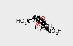 CC(C)(CCCC(=O)O)c1ccc2c(c1)C(=O)c1cc(C(C)(C)CCCC(=O)O)ccc1C2=O